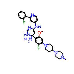 COc1cc(N2CCC(N3CCN(C)CC3)CC2)c(F)cc1C1(N)C=C(Nc2ccnc(-c3ccccc3F)c2)N=CN1